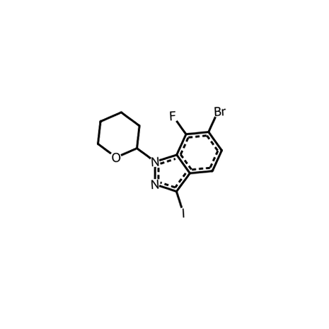 Fc1c(Br)ccc2c(I)nn(C3CCCCO3)c12